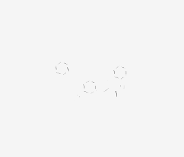 O=C1Nc2ccc(F)cc2SC1=Cc1ccc(OCc2ccccc2)c([N+](=O)[O-])c1